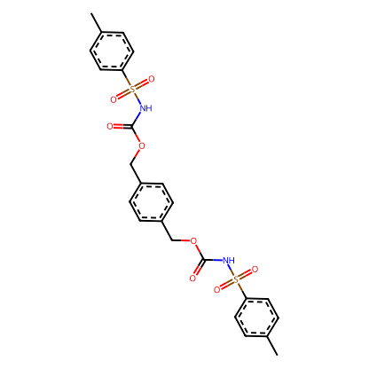 Cc1ccc(S(=O)(=O)NC(=O)OCc2ccc(COC(=O)NS(=O)(=O)c3ccc(C)cc3)cc2)cc1